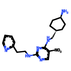 N[C@H]1CC[C@H](CNc2nc(NCCc3ccccn3)ncc2[N+](=O)[O-])CC1